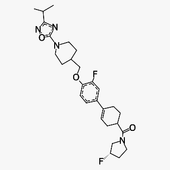 CC(C)c1noc(N2CCC(COc3ccc(C4=CCC(C(=O)N5CC[C@H](F)C5)CC4)cc3F)CC2)n1